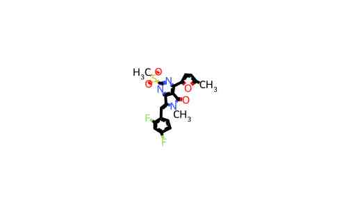 Cc1ccc(-c2nc(S(C)(=O)=O)nc3c2C(=O)N(C)/C3=C\c2ccc(F)cc2F)o1